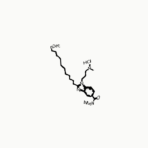 CCCCCCCCCCCCCCCCCCCCCc1nc2cc(C(=O)NC)ccc2n1CCCN(C)C.Cl